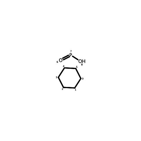 C1CCCCC1.O=PO